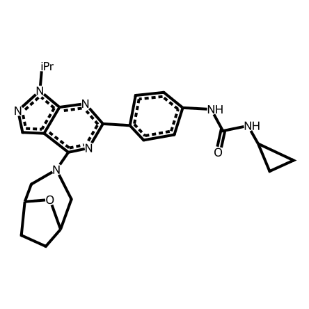 CC(C)n1ncc2c(N3CC4CCC(C3)O4)nc(-c3ccc(NC(=O)NC4CC4)cc3)nc21